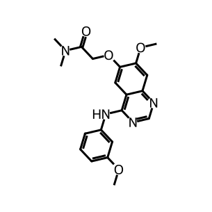 COc1cccc(Nc2ncnc3cc(OC)c(OCC(=O)N(C)C)cc23)c1